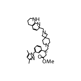 COC(=O)C[C@H](CN1CCC2(CC1)CN(Cc1ccc3c(n1)NCCC3)C2)c1cccc(-n2nc(C)cc2C)c1